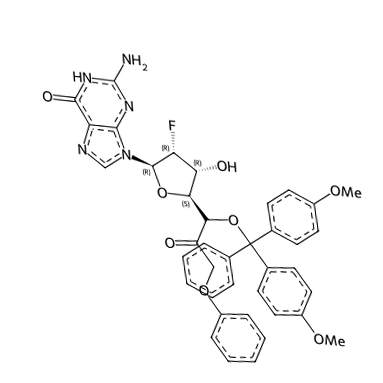 COc1ccc(C(OC(C(=O)COc2ccccc2)[C@H]2O[C@@H](n3cnc4c(=O)[nH]c(N)nc43)[C@H](F)[C@@H]2O)(c2ccccc2)c2ccc(OC)cc2)cc1